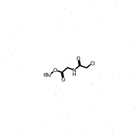 CC(C)(C)OC(=O)CNC(=O)CCl